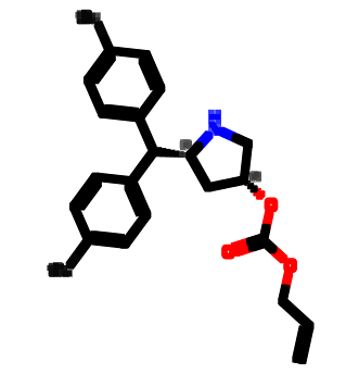 C=CCOC(=O)O[C@H]1CN[C@@H](C(c2ccc(C(C)(C)C)cc2)c2ccc(C(C)(C)C)cc2)C1